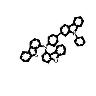 c1ccc(-n2c3ccccc3c3ccc(-c4ccc(N(c5cccc6c5sc5ccccc56)c5cccc6oc7ccccc7c56)cc4)cc32)cc1